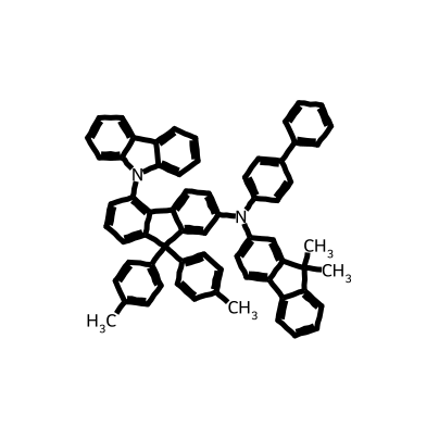 Cc1ccc(C2(c3ccc(C)cc3)c3cc(N(c4ccc(-c5ccccc5)cc4)c4ccc5c(c4)C(C)(C)c4ccccc4-5)ccc3-c3c(-n4c5ccccc5c5ccccc54)cccc32)cc1